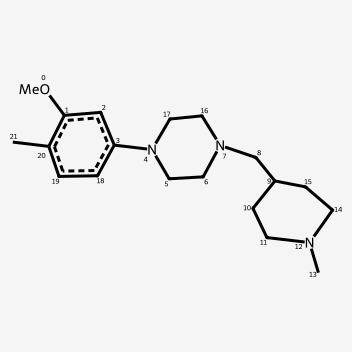 COc1cc(N2CCN(CC3CCN(C)CC3)CC2)ccc1C